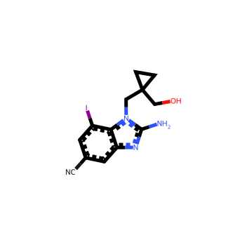 N#Cc1cc(I)c2c(c1)nc(N)n2CC1(CO)CC1